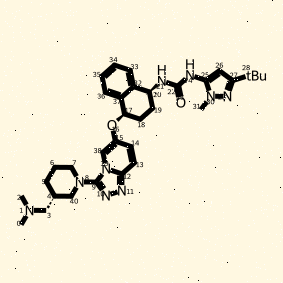 CN(C)C[C@@H]1CCCN(c2nnc3ccc(O[C@@H]4CC[C@H](NC(=O)Nc5cc(C(C)(C)C)nn5C)c5ccccc54)cn23)C1